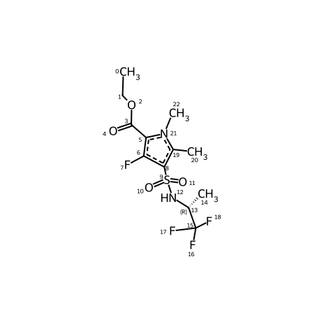 CCOC(=O)c1c(F)c(S(=O)(=O)N[C@H](C)C(F)(F)F)c(C)n1C